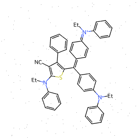 CCN(c1ccccc1)c1ccc(C(=C2C=CC(=[N+](CC)c3ccccc3)C=C2)c2sc(N(CC)c3ccccc3)c(C#N)c2-c2ccccc2)cc1